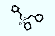 O=P(C=Cc1ccccc1)(OC=Cc1ccccc1)c1ccccc1